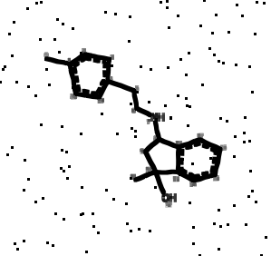 Cc1ccc(CCNC2CC(C)(O)c3ccccc32)cc1